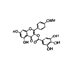 COc1ccc(-c2oc3cc(O)cc(O)c3c(=O)c2OC(=O)c2cc(O)c(O)c(O)c2)cc1